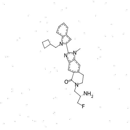 Cn1c(-c2cc3ccccc3n2CC2CCC2)nc2cc3c(cc21)CCN(C[C@H](N)CF)C3=O